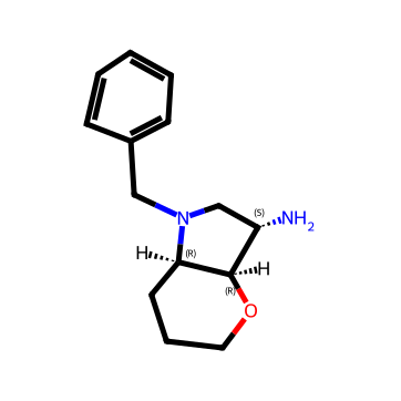 N[C@H]1CN(Cc2ccccc2)[C@@H]2CCCO[C@@H]21